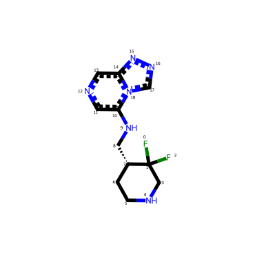 FC1(F)CNCC[C@@H]1CNc1cncc2nncn12